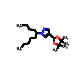 CCCCCC(CCCC)n1cc(B2OC(C)(C)C(C)(C)O2)cn1